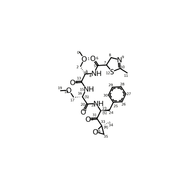 COC[C@H](NC(=O)C1CN=C(C)S1)C(=O)N[C@@H](COC)C(=O)N[C@@H](Cc1ccccc1)C(=O)[C@@]1(C)CO1